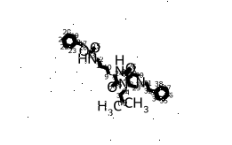 CC(C)CCN1C(=O)[C@H](CCCCNC(=O)OCc2ccccc2)NC(=O)C12CCN(CCc1ccccc1)CC2